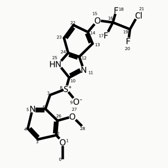 COc1ccnc(C[S+]([O-])c2nc3cc(OC(F)(F)C(F)Cl)ccc3[nH]2)c1OC